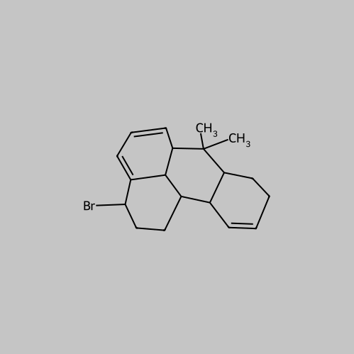 CC1(C)C2C=CC=C3C(Br)CCC(C4C=CCCC41)C32